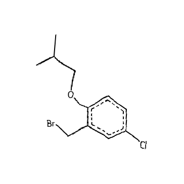 CC(C)COc1ccc(Cl)cc1CBr